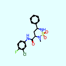 CN1C(C(=O)Nc2ccc(F)c(Cl)c2)CC(c2ccccc2)NS1(=O)=O